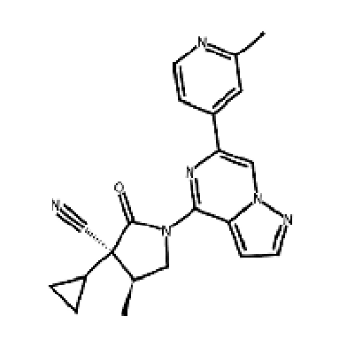 Cc1cc(-c2cn3nccc3c(N3C[C@@H](C)[C@@](C#N)(C4CC4)C3=O)n2)ccn1